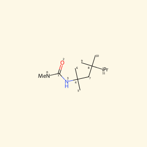 CNC(=O)NC(C)(C)CC(C)(C)C(C)C